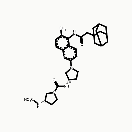 Cc1ccc2nc(N3CC[C@H](NC(=O)N4CC[C@H](NC(=O)O)C4)C3)ccc2c1NC(=O)CC12CC3CC(CC(C3)C1)C2